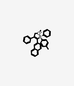 Cc1ccc([B-]2(c3ccccc3)C(c3ccc4ccccc4c3)=C(c3ccccc3)C[O+]2C)cc1